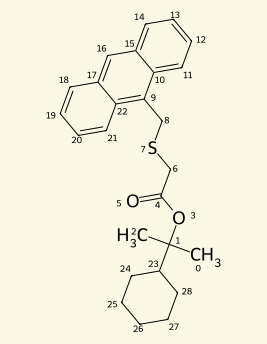 CC(C)(OC(=O)CSCc1c2ccccc2cc2ccccc12)C1CCCCC1